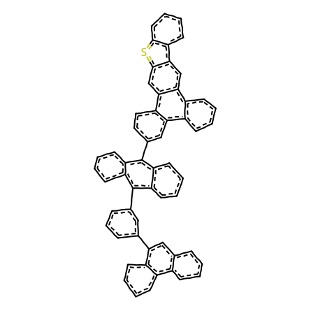 c1cc(-c2c3ccccc3c(-c3ccc4c(c3)c3ccccc3c3cc5c(cc43)sc3ccccc35)c3ccccc23)cc(-c2cc3ccccc3c3ccccc23)c1